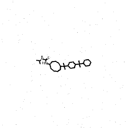 CC(C)N(C)C(=S)NC1CCCCC(C(C)(C)C2CCC(C(C)(C)C3CCCCC3)CC2)CCC1